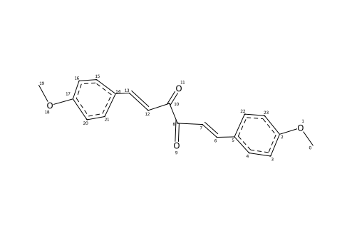 COc1ccc(/C=C/C(=O)C(=O)/C=C/c2ccc(OC)cc2)cc1